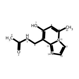 CC(=O)NCc1c(O)cc(C)n2ccnc12